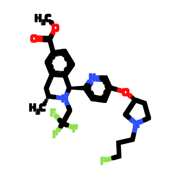 COC(=O)c1ccc2c(c1)C[C@@H](C)N(CC(F)(F)F)[C@@H]2c1ccc(O[C@H]2CCN(CCCF)C2)cn1